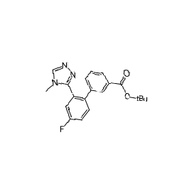 Cn1cnnc1-c1cc(F)ccc1-c1cccc(C(=O)OC(C)(C)C)c1